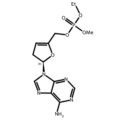 CCOP(=O)(OC)OCC1=CC[C@H](n2cnc3c(N)ncnc32)O1